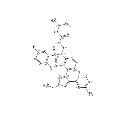 CCn1cc(-c2ccnc(N)n2)c(-c2c(F)ccc(N(COC(=O)CN(C)C)S(=O)(=O)c3cc(F)ccc3F)c2F)n1